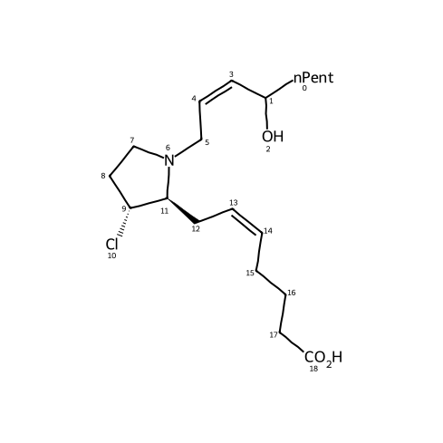 CCCCCC(O)/C=C\CN1CC[C@@H](Cl)[C@@H]1C/C=C\CCCC(=O)O